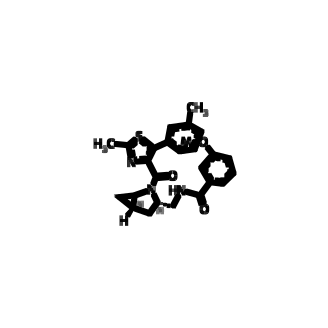 COc1cccc(C(=O)NC[C@@H]2C[C@@H]3CC3N2C(=O)c2nc(C)sc2-c2cccc(C)c2)c1